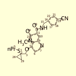 CCCSC1(COc2ccnc3cc(C(=O)NCc4ccc(C#N)cc4)c(=O)n(C)c23)CC1